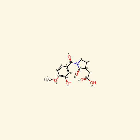 COc1ccc(C(=O)N2CCC(CC(=O)O)C2=O)cc1O